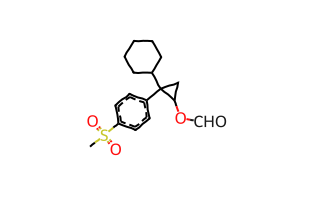 CS(=O)(=O)c1ccc(C2(C3CCCCC3)CC2OC=O)cc1